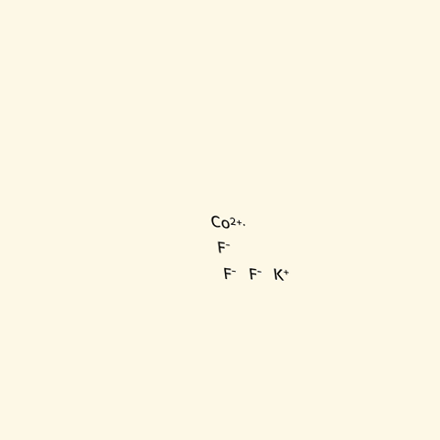 [Co+2].[F-].[F-].[F-].[K+]